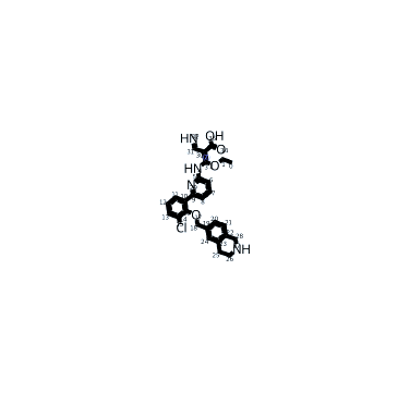 CCO/C(Nc1cccc(-c2cccc(Cl)c2OCc2ccc3c(c2)CCNC3)n1)=C(/C=N)C(=O)O